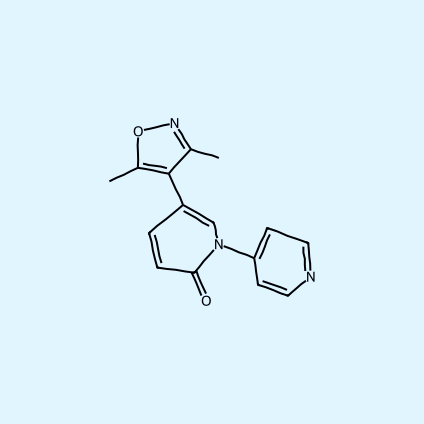 Cc1noc(C)c1-c1ccc(=O)n(-c2ccncc2)c1